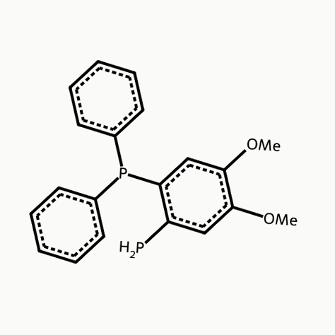 COc1cc(P)c(P(c2ccccc2)c2ccccc2)cc1OC